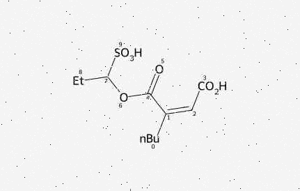 CCCCC(=CC(=O)O)C(=O)OC(CC)S(=O)(=O)O